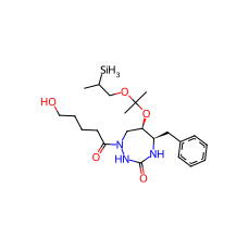 CC([SiH3])COC(C)(C)O[C@@H]1CN(C(=O)CCCCO)NC(=O)N[C@@H]1Cc1ccccc1